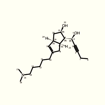 CCC#C[C@H](O)[C@@H]1[C@H]2CC(CCCCCN(C)C)=C[C@H]2C[C@H]1O